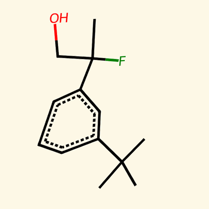 CC(C)(C)c1cccc(C(C)(F)CO)c1